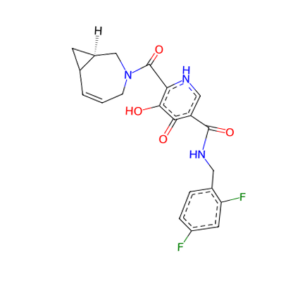 O=C(NCc1ccc(F)cc1F)c1c[nH]c(C(=O)N2CC=CC3C[C@H]3C2)c(O)c1=O